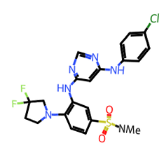 CNS(=O)(=O)c1ccc(N2CCC(F)(F)C2)c(Nc2cc(Nc3ccc(Cl)cc3)ncn2)c1